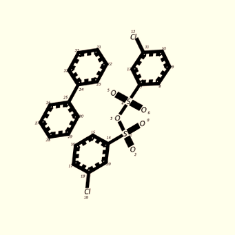 O=S(=O)(OS(=O)(=O)c1cccc(Cl)c1)c1cccc(Cl)c1.c1ccc(-c2ccccc2)cc1